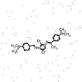 CCc1n(/N=C/c2ccc(N(C)C)cc2)cc[n+]1/N=C(\C)c1ccc(N(C)C)cc1.[Cl-]